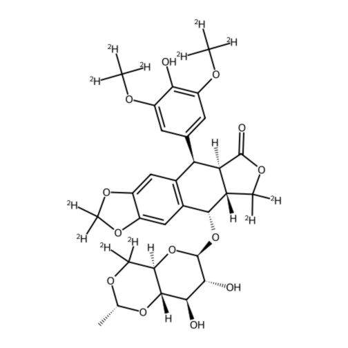 [2H]C([2H])([2H])Oc1cc([C@@H]2c3cc4c(cc3[C@@H](O[C@@H]3O[C@H]5[C@@H](O[C@H](C)OC5([2H])[2H])[C@H](O)[C@H]3O)[C@@H]3[C@@H]2C(=O)OC3([2H])[2H])OC([2H])([2H])O4)cc(OC([2H])([2H])[2H])c1O